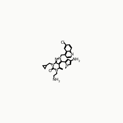 C=C1c2c(nn(Cc3ccnc4ccc(Cl)cc34)c2-c2cc(N)cn2C)N(CC2CC2)C(=O)N1CCN